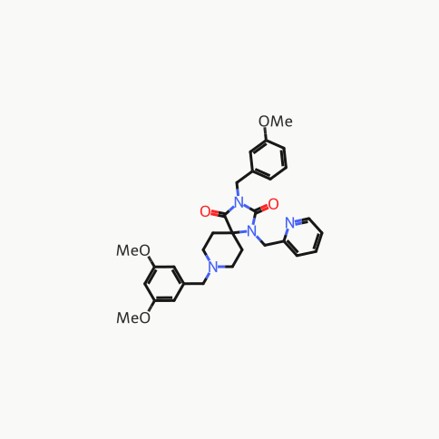 COc1cccc(CN2C(=O)N(Cc3ccccn3)C3(CCN(Cc4cc(OC)cc(OC)c4)CC3)C2=O)c1